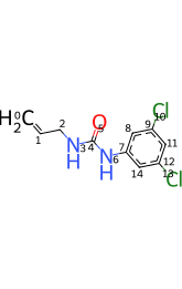 C=CCNC(=O)Nc1cc(Cl)cc(Cl)c1